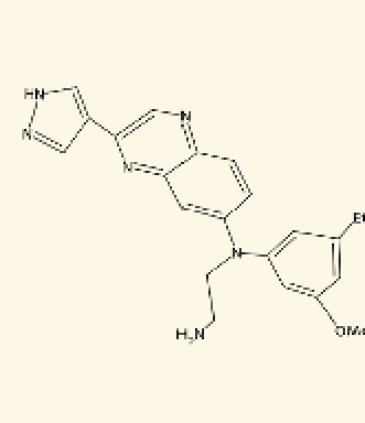 CCc1cc(OC)cc(N(CCN)c2ccc3ncc(-c4cn[nH]c4)nc3c2)c1